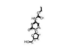 CCOC(=O)Nc1cnn([C@H]2CC[C@@H](CO)O2)c(=O)n1